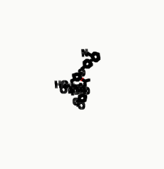 CC(C)CN(C[C@H]1OC(C)(C)N(C(=O)O)[C@H]1Cc1ccc(OCc2ccc(-c3ccccc3C#N)cc2)cc1)S(=O)(=O)c1ccc2c(c1)OCO2